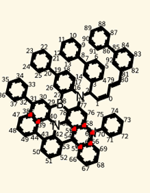 C(=C/C(c1cccc(-c2ccccc2)c1)N1c2ccc(-c3ccccc3)cc2B2c3cc(-c4ccccc4)ccc3N(c3c(-c4ccccc4)cccc3-c3ccccc3)c3cc(N(c4ccccc4)c4ccccc4)cc1c32)/C=C/c1cccc(-c2ccccc2)c1